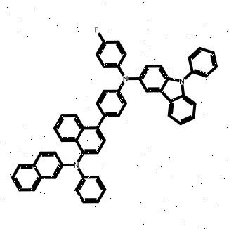 Fc1ccc(N(c2ccc(-c3ccc(N(c4ccccc4)c4ccc5ccccc5c4)c4ccccc34)cc2)c2ccc3c(c2)c2ccccc2n3-c2ccccc2)cc1